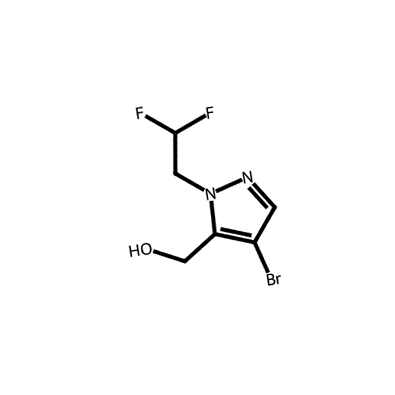 OCc1c(Br)cnn1CC(F)F